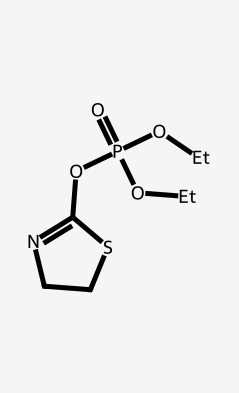 CCOP(=O)(OCC)OC1=NCCS1